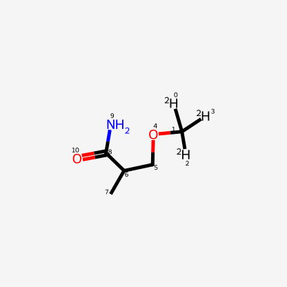 [2H]C([2H])([2H])OC[C](C)C(N)=O